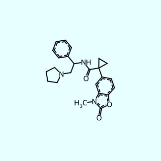 Cn1c(=O)oc2ccc(C3(C(=O)NC(CN4CCCC4)c4ccccc4)CC3)cc21